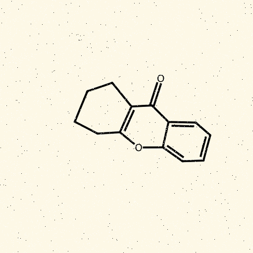 O=c1c2c(oc3ccccc13)CCCC2